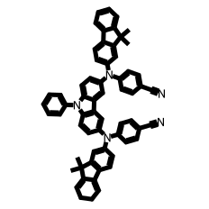 CC1(C)C2=CCCC=C2c2ccc(N(c3ccc(C#N)cc3)c3ccc4c(c3)c3cc(N(c5ccc(C#N)cc5)c5ccc6c(c5)C(C)(C)c5ccccc5-6)ccc3n4-c3ccccc3)cc21